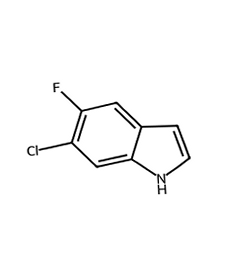 Fc1cc2cc[nH]c2cc1Cl